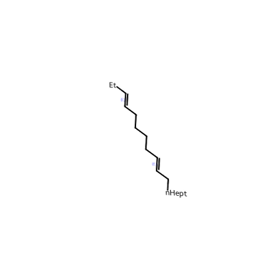 [CH2]CCCCCCC/C=C/CCCC/C=C/CC